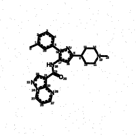 Cc1cccc(-n2nc(C3CCN(C)CC3)cc2NC(=O)c2cnn3cccnc23)c1